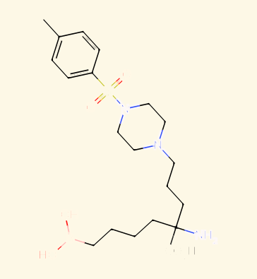 Cc1ccc(S(=O)(=O)N2CCN(CCCC(N)(CCCCB(O)O)C(=O)O)CC2)cc1